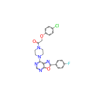 O=C(COc1ccc(Cl)cc1)N1CCN(c2ncnc3oc(-c4ccc(F)cc4)nc23)CC1